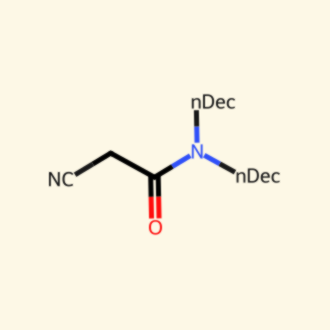 CCCCCCCCCCN(CCCCCCCCCC)C(=O)CC#N